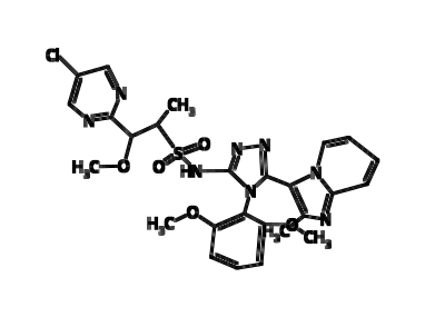 COc1cccc(OC)c1-n1c(NS(=O)(=O)C(C)C(OC)c2ncc(Cl)cn2)nnc1-c1c(C)nc2ccccn12